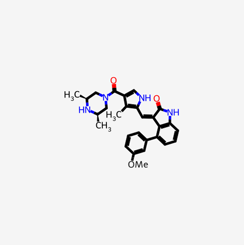 COc1cccc(-c2cccc3c2/C(=C/c2[nH]cc(C(=O)N4C[C@@H](C)N[C@@H](C)C4)c2C)C(=O)N3)c1